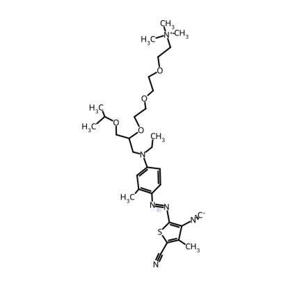 [C-]#[N+]c1c(/N=N/c2ccc(N(CC)CC(COC(C)C)OCCOCCOCC[N+](C)(C)C)cc2C)sc(C#N)c1C